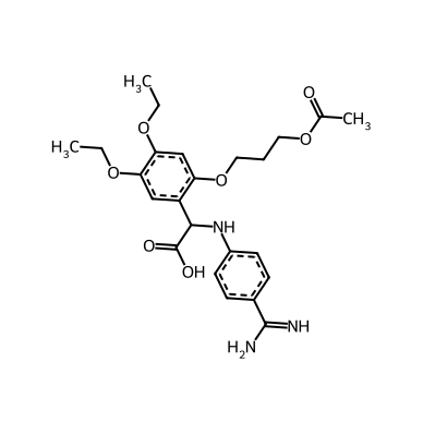 CCOc1cc(OCCCOC(C)=O)c(C(Nc2ccc(C(=N)N)cc2)C(=O)O)cc1OCC